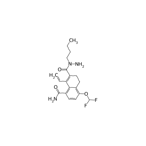 C=CC1=C(C(=O)N(N)CCCC)CCc2c(OC(F)F)ccc(C(N)=O)c21